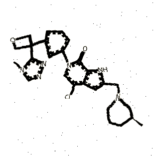 C[C@H]1CCCN(Cc2cc3c(Cl)cn(-c4cccc(C5(c6nncn6C)COC5)c4)c(=O)c3[nH]2)C1